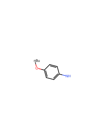 CCCCOc1ccc([NH])cc1